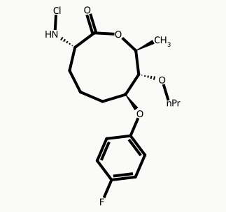 CCCO[C@H]1[C@H](C)OC(=O)[C@@H](NCl)CCC[C@@H]1Oc1ccc(F)cc1